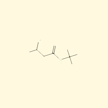 CC(C)(C)NC(=O)CC(O)O